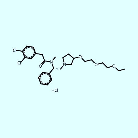 CCOCCOCCOC1CCN(C[C@H](c2ccccc2)N(C)C(=O)Cc2ccc(Cl)c(Cl)c2)C1.Cl